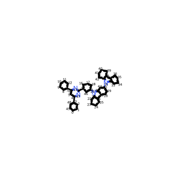 c1ccc(-c2cc(-c3ccccc3)nc(-c3cccc(-n4c5ccccc5c5ccc(-n6c7ccccc7c7ccccc76)cc54)c3)n2)cc1